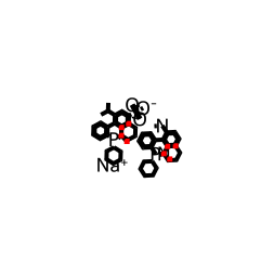 CC(C)c1cc(S(=O)(=O)[O-])cc(C(C)C)c1-c1ccccc1P(C1CCCCC1)C1CCCCC1.CN(C)c1cccc(N(C)C)c1-c1ccccc1P(C1CCCCC1)C1CCCCC1.[Na+]